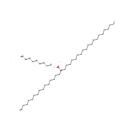 CCCCCCCCCCCCCCCCCCCCC(CCCCCCCCCCCCCCCC)C(=O)OCCCCCCCCCC